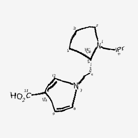 CC(C)N1CCC[C@H]1Cn1ccc(C(=O)O)c1